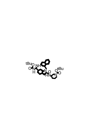 CC(C)(C)OC(=O)NC(=N)c1ccc2cc(C(=O)NC3CCCN(C(=O)OC(C)(C)C)C3)n(Cc3cccc4ccccc34)c2c1